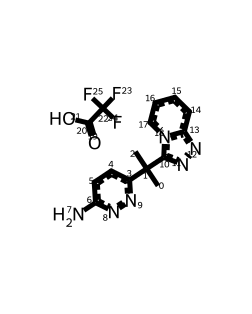 CC(C)(c1ccc(N)nn1)c1nnc2ccccn12.O=C(O)C(F)(F)F